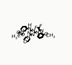 COc1cccc2c1nc(C(F)F)n2-c1nc(NC2CCCN(S(C)(=O)=O)C2)nc(N2CCOCC2)n1